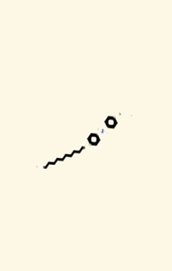 CCCCCCCCOc1ccc(/N=N/c2ccc(OCCCCCCCCCCO)cc2)cc1